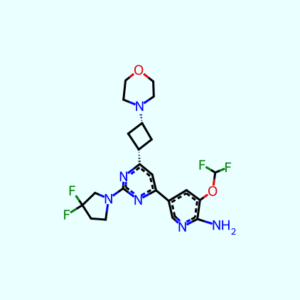 Nc1ncc(-c2cc([C@H]3C[C@@H](N4CCOCC4)C3)nc(N3CCC(F)(F)C3)n2)cc1OC(F)F